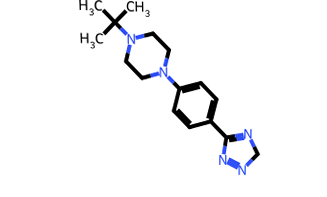 CC(C)(C)N1CCN(c2ccc(C3=NCN=N3)cc2)CC1